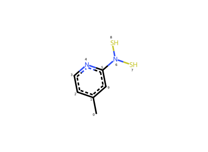 Cc1ccnc(N(S)S)c1